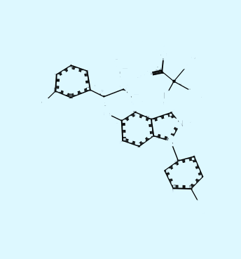 Cc1cccc([C@@H](Oc2ccc3c(cnn3-c3ccc(F)cc3)c2)[C@H](C)N)c1.O=C(O)C(F)(F)F